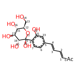 CC(=O)/C=C/C=C/c1ccc([C@@]2(O)O[C@H](CO)[C@@H](O)[C@H](O)[C@H]2O)c(O)c1